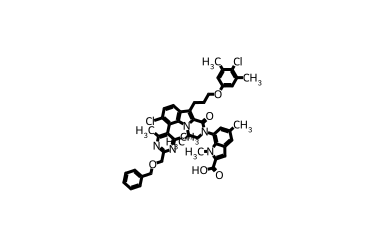 Cc1cc(N2C[C@@H](C)n3c(c(CCCOc4cc(C)c(Cl)c(C)c4)c4ccc(Cl)c(-c5c(C)nc(COCc6ccccc6)nc5C)c43)C2=O)c2c(c1)cc(C(=O)O)n2C